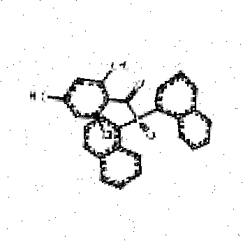 Cc1cc(C)c(C(=O)P(=O)(c2cccc3ccccc23)c2cccc3ccccc23)c(C)c1